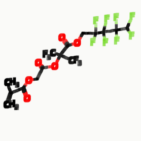 C=C(C)C(=O)OCC(=O)OC(C(=O)OCC(F)(F)C(F)(F)C(F)(F)C(F)F)(C(F)(F)F)C(F)(F)F